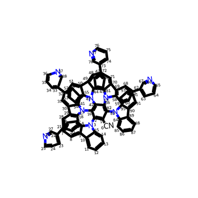 N#Cc1c(-n2c3ccccc3c3ccccc32)c(-n2c3ccc(-c4cccnc4)cc3c3cc(-c4cccnc4)ccc32)c(-n2c3ccccc3c3ccccc32)c(-n2c3ccc(-c4cccnc4)cc3c3cc(-c4cccnc4)ccc32)c1-n1c2ccccc2c2ccccc21